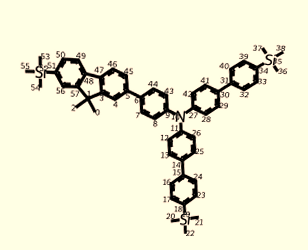 CC1(C)c2cc(-c3ccc(N(c4ccc(-c5ccc([Si](C)(C)C)cc5)cc4)c4ccc(-c5ccc([Si](C)(C)C)cc5)cc4)cc3)ccc2-c2ccc([Si](C)(C)C)cc21